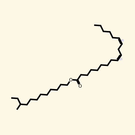 CCCCC/C=C\C/C=C\CCCCCCCC(=O)OCCCCCCCCCC(C)CC